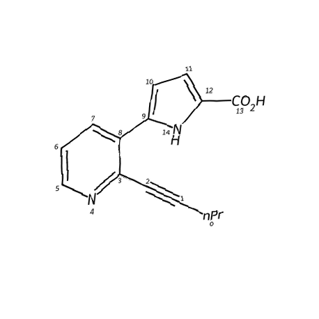 CCCC#Cc1ncccc1-c1ccc(C(=O)O)[nH]1